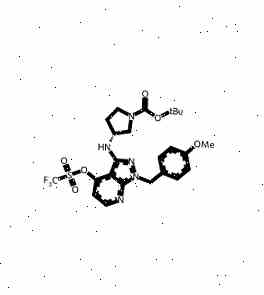 COc1ccc(Cn2nc(N[C@@H]3CCN(C(=O)OC(C)(C)C)C3)c3c(OS(=O)(=O)C(F)(F)F)ccnc32)cc1